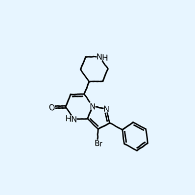 O=c1cc(C2CCNCC2)n2nc(-c3ccccc3)c(Br)c2[nH]1